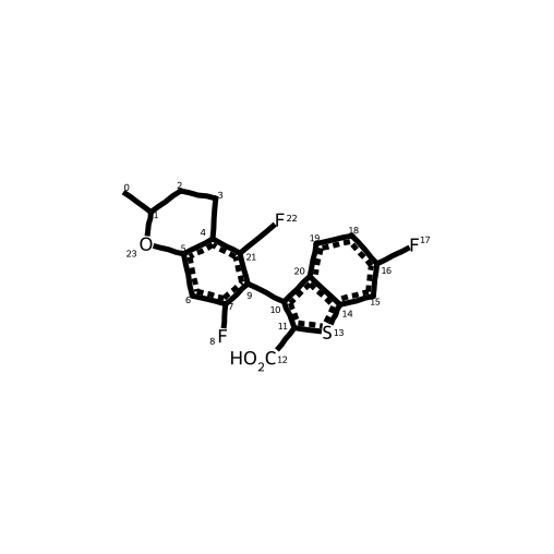 CC1CCc2c(cc(F)c(-c3c(C(=O)O)sc4cc(F)ccc34)c2F)O1